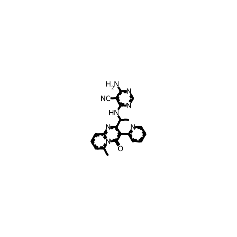 Cc1cccc2nc(C(C)Nc3ncnc(N)c3C#N)c(-c3ccccn3)c(=O)n12